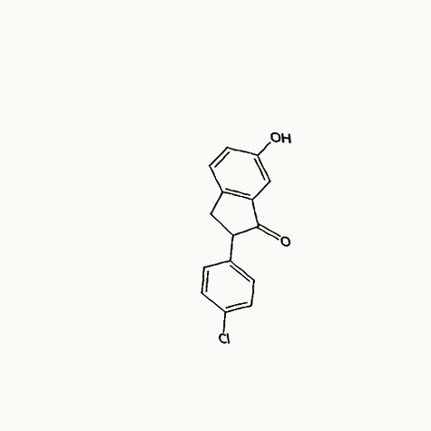 O=C1c2cc(O)ccc2CC1c1ccc(Cl)cc1